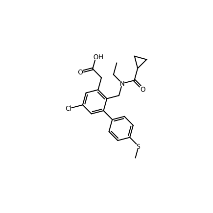 CCN(Cc1c(CC(=O)O)cc(Cl)cc1-c1ccc(SC)cc1)C(=O)C1CC1